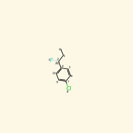 CC[C@@H](F)c1ccc(Cl)cc1